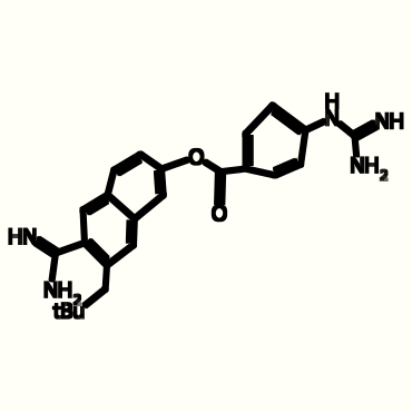 CC(C)(C)Cc1cc2cc(OC(=O)c3ccc(NC(=N)N)cc3)ccc2cc1C(=N)N